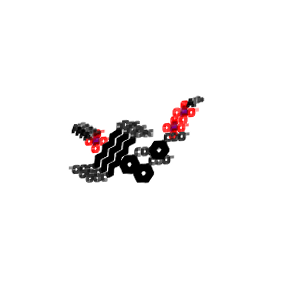 CCCCCCCCCCCCCCCCCC(=O)[O-].CCCCCCCCCCCCCCCCCC(=O)[O-].CCCCCCCCCCCCCCCCCC(=O)[O-].O=C([O-])c1ccccc1.O=C([O-])c1ccccc1.O=C([O-])c1ccccc1.O=P([O-])([O-])[O-].O=P([O-])([O-])[O-].O=P([O-])([O-])[O-].[Al+3].[Al+3].[Al+3].[Al+3].[Al+3]